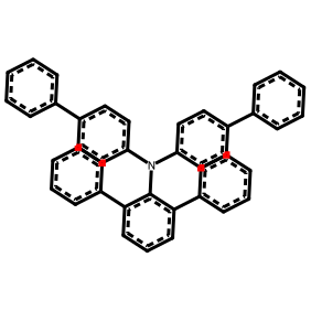 c1ccc(-c2ccc(N(c3ccc(-c4ccccc4)cc3)c3c(-c4ccccc4)cccc3-c3ccccc3)cc2)cc1